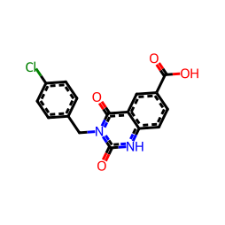 O=C(O)c1ccc2[nH]c(=O)n(Cc3ccc(Cl)cc3)c(=O)c2c1